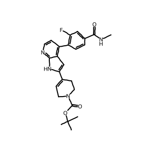 CNC(=O)c1ccc(-c2ccnc3[nH]c(C4=CCN(C(=O)OC(C)(C)C)CC4)cc23)c(F)c1